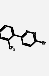 FC(F)(F)c1ccccc1-c1ccc(Br)nn1